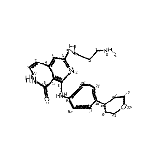 NCCNc1cc2cc[nH]c(=O)c2c(Nc2ccc(C3CCOCC3)cc2)n1